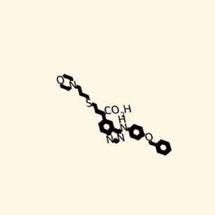 O=C(O)C(=CCSCCCN1CCOCC1)c1ccc2ncnc(Nc3ccc(OCc4ccccc4)cc3)c2c1